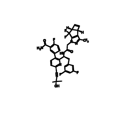 CC(C)(O)C#Cc1ccc(-c2ccc(F)c(C(N)=O)c2)c([C@H](Cc2cc(F)cc(F)c2)NC(=O)Cn2nc(C(F)(F)F)c3c2C(F)(F)[C@@H]2C=C[C@H]32)n1